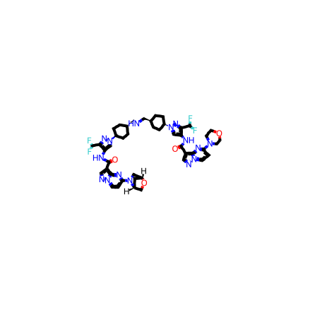 O=C(Nc1cn([C@H]2CC[C@H](CNC[C@H]3CC[C@H](n4cc(NC(=O)c5cnn6ccc(N7C[C@H]8C[C@@H]7CO8)nc56)c(C(F)F)n4)CC3)CC2)nc1C(F)F)c1cnn2ccc(N3CCOCC3)nc12